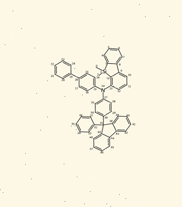 C[Si]1(C)c2ccccc2-c2cccc(N(c3ccc(-c4ccccc4)cc3)c3ccc(C4(c5ccccc5)c5ccccc5-c5ccccc54)cc3)c21